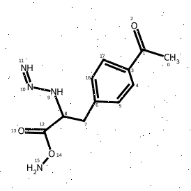 CC(=O)c1ccc(CC(NN=N)C(=O)ON)cc1